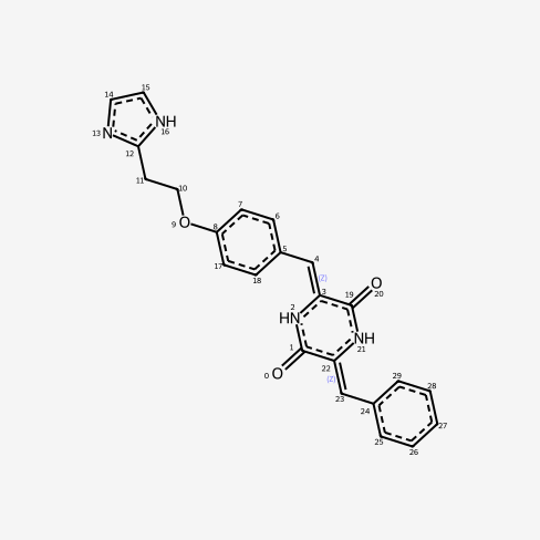 O=c1[nH]/c(=C\c2ccc(OCCc3ncc[nH]3)cc2)c(=O)[nH]/c1=C\c1ccccc1